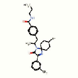 CC(C)C1CCC2(CC1)N=C(c1cccc(C(F)(F)F)c1)C(=O)N2C(C)Cc1ccc(C(=O)NCCC(=O)O)cc1